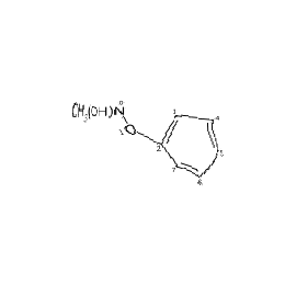 CN(O)Oc1ccccc1